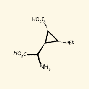 CC[C@H]1[C@@H](C(=O)O)[C@@H]1C(N)C(=O)O